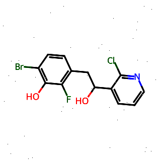 Oc1c(Br)ccc(CC(O)c2cccnc2Cl)c1F